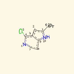 CC(C)c1cc2c(Cl)nccc2[nH]1